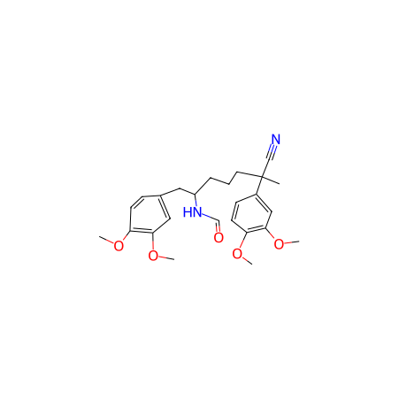 COc1ccc(CC(CCCC(C)(C#N)c2ccc(OC)c(OC)c2)NC=O)cc1OC